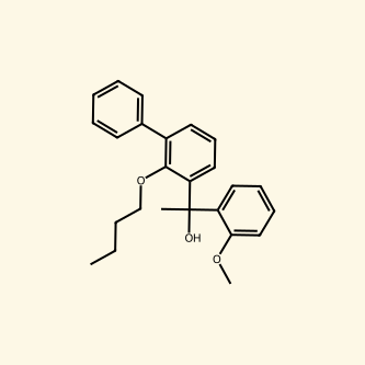 CCCCOc1c(-c2ccccc2)cccc1C(C)(O)c1ccccc1OC